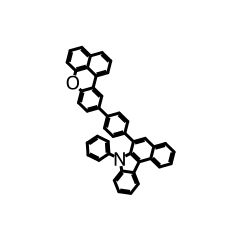 c1ccc(-n2c3ccccc3c3c4ccccc4cc(-c4ccc(-c5ccc6c(c5)-c5cccc7cccc(c57)O6)cc4)c32)cc1